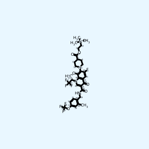 COc1c(N2CCC(C(=O)OCC[N+](C)(C)C)CC2)c(F)cc2c(=O)c(C(=O)NCc3ccc(OC(F)(F)F)cc3C)cn(CC(F)(F)F)c12